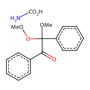 COOC(OC)(C(=O)c1ccccc1)c1ccccc1.NC(=O)O